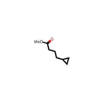 COC(=O)CCCC1[CH]C1